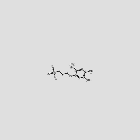 CC(C)(C)c1cc(OCCCS(=O)(=O)[O-])c(C(C)(C)C)cc1O.[Na+]